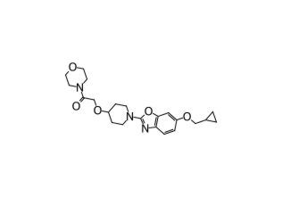 O=C(COC1CCN(c2nc3ccc(OCC4CC4)cc3o2)CC1)N1CCOCC1